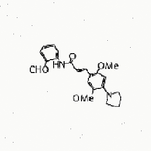 COc1cc(N2CCCCC2)c(OC)cc1/C=C/C(=O)Nc1ccccc1C=O